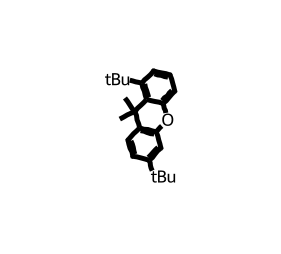 CC(C)(C)c1ccc2c(c1)Oc1cccc(C(C)(C)C)c1C2(C)C